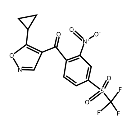 O=C(c1ccc(S(=O)(=O)C(F)(F)F)cc1[N+](=O)[O-])c1cnoc1C1CC1